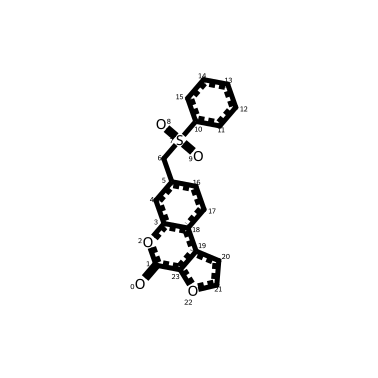 O=c1oc2cc(CS(=O)(=O)c3ccccc3)ccc2c2ccoc12